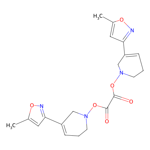 Cc1cc(C2=CCCN(OC(=O)C(=O)ON3CCC=C(c4cc(C)on4)C3)C2)no1